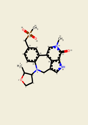 CC1OCCC1N1Cc2c[nH]c3c(=O)n(C)cc(c23)-c2cc(CS(C)(=O)=O)ccc21